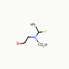 CCCC(F)N(CCBr)C(=O)O